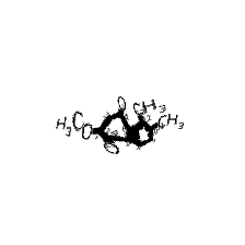 COC1=CC(=O)c2c(ccc(C)c2C)C1=O